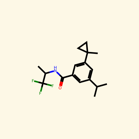 CC(C)c1cc(C(=O)NC(C)C(F)(F)F)cc(C2(C)CC2)c1